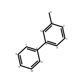 Cc1[c]ccc(-c2ccccc2)c1